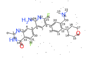 Cc1nc2cc(-c3cc(-c4ccc(C5CCOCC5)c(CN(C)C)c4)c(F)nc3N)cc(F)c2c(=O)[nH]1